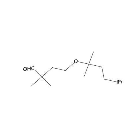 CC(C)CCC(C)(C)OCCC(C)(C)C=O